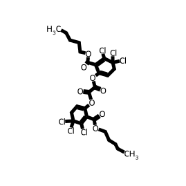 CCCCCOC(=O)C1=C(Cl)C(Cl)(Cl)CC=C1OC(=O)C(=O)OC1=CCC(Cl)(Cl)C(Cl)=C1C(=O)OCCCCC